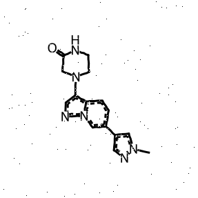 Cn1cc(-c2ccc3c(N4CCNC(=O)C4)cnn3c2)cn1